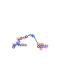 CNc1nc(-c2cnc3ccccc3c2)nc2c1CCN(C(=O)c1ccc(COc3ccc(C#CCN4CCN(CCCCCCCCOc5cccc6c5C(=O)N(C5CCC(=O)NC5=O)C6=O)CC4)cc3)cc1)C2